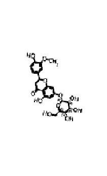 COc1cc(C2CC(=O)c3c(O)cc(O[C@@H]4O[C@H](CO)[C@@H](O)[C@H](O)[C@H]4O)cc3O2)ccc1O